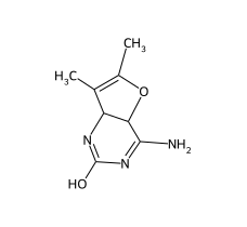 CC1=C(C)C2N=C(O)N=C(N)C2O1